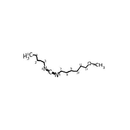 CCCCN=C=NCCCCCCOC